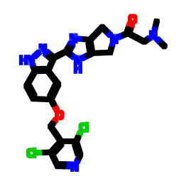 CN(C)CC(=O)N1Cc2nc(-c3n[nH]c4ccc(OCc5c(Cl)cncc5Cl)cc34)[nH]c2C1